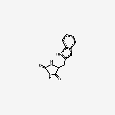 O=C1NC(=O)C(Cc2cc3ccccc3[nH]2)N1